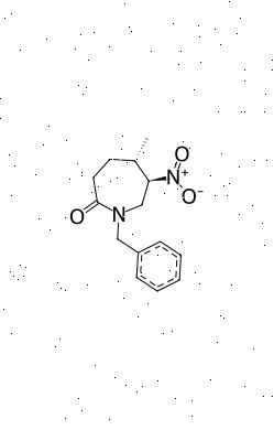 C[C@H]1CCC(=O)N(Cc2ccccc2)C[C@@H]1[N+](=O)[O-]